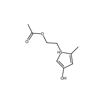 CC(=O)OCC[SH]1C=C(O)C=C1C